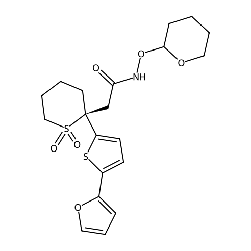 O=C(C[C@]1(c2ccc(-c3ccco3)s2)CCCCS1(=O)=O)NOC1CCCCO1